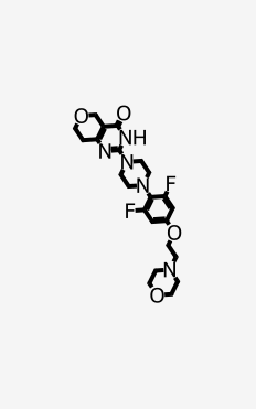 O=c1[nH]c(N2CCN(c3c(F)cc(OCCN4CCOCC4)cc3F)CC2)nc2c1COCC2